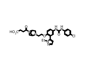 CCn1nccc1-c1cc(NC(=O)Nc2ccc(Cl)cc2)ccc1OCCN1CC2CC1CN2C(=O)CCC(=O)O